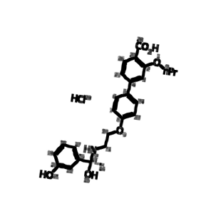 CCCOc1cc(-c2ccc(OCCN[C@@](C)(O)c3cccc(O)c3)cc2)ccc1C(=O)O.Cl